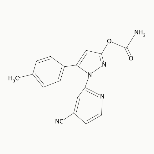 Cc1ccc(-c2cc(OC(N)=O)nn2-c2cc(C#N)ccn2)cc1